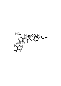 C#CCOc1ccc(CC(NC(=O)O)C(=O)N[C@H]2[C@@H](O)[C@H](n3cnc4c(N(C)C)ncnc43)O[C@@H]2CO)cc1